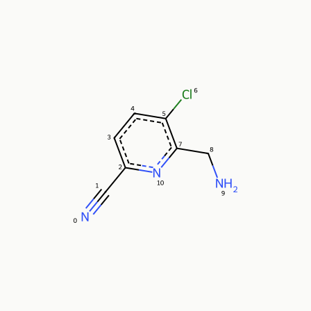 N#Cc1ccc(Cl)c(CN)n1